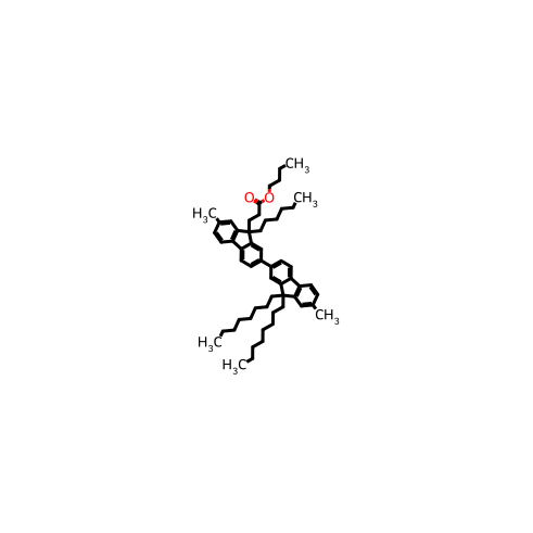 CCCCCCCCC1(CCCCCCCC)c2cc(C)ccc2-c2ccc(-c3ccc4c(c3)C(CCCCCC)(CCC(=O)OCCCC)c3cc(C)ccc3-4)cc21